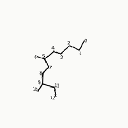 CCCCCC(C)CCC(C)CC